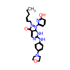 CCC/C=C\CN1C(=O)C2=CN=C(Nc3ccc(N4CCOCC4)cc3)NC2N1c1cccc(O)n1